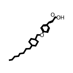 CCCCCCCCC1CCC(COc2ccc(C=CC(=O)O)cc2)CC1